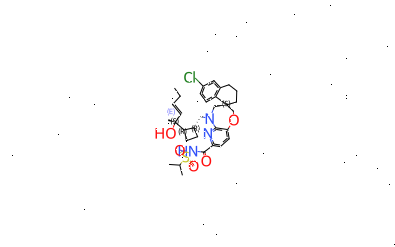 CC/C=C/[C@@](C)(O)[C@@H]1CC[C@H]1CN1C[C@@]2(CCCc3cc(Cl)ccc32)COc2ccc(C(=O)NS(=O)(=O)C(C)C)nc21